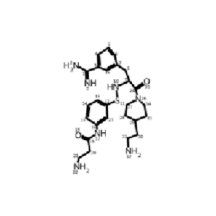 N=C(N)c1cccc(CC(NSc2cccc(NC(=O)CCN)c2)C(=O)N2CCC(CCN)CC2)c1